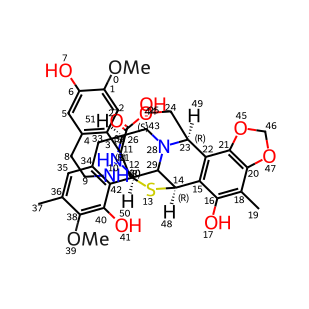 COc1cc2c(cc1O)CCN[C@]21CS[C@@H]2c3c(O)c(C)c4c(c3[C@H](COC1=O)N1C2[C@@H]2N[C@@H](Cc3cc(C)c(OC)c(O)c32)[C@@H]1O)OCO4